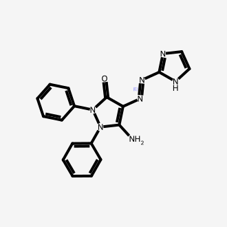 Nc1c(/N=N/c2ncc[nH]2)c(=O)n(-c2ccccc2)n1-c1ccccc1